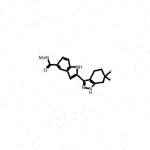 CNC(=O)c1ccc2[nH]c(-c3n[nH]c4c3CCC(C)(I)C4)cc2c1